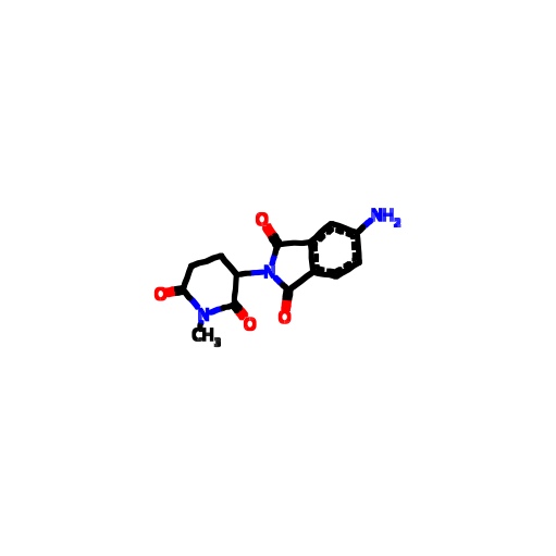 CN1C(=O)CCC(N2C(=O)c3ccc(N)cc3C2=O)C1=O